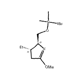 CC[C@H]1CC(OC)=N[C@@H]1CO[Si](C)(C)C(C)(C)C